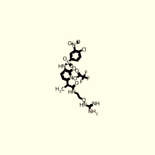 CC(C(=O)NCCONC(=N)N)c1ccc(NS(=O)(=O)c2ccc(Cl)c([N+](=O)[O-])c2)c(=O)n1OC(=O)C(F)(F)F